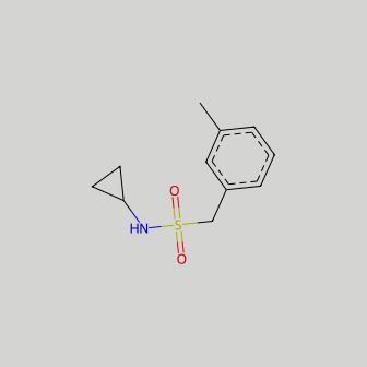 Cc1cccc(CS(=O)(=O)NC2CC2)c1